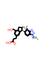 Cc1c([C@@H]2CCc3c(CO)cc(CCC(=O)O)cc32)ccc2c1nnn2C